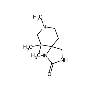 CN1CCC2(CNC(=O)N2)C(C)(C)C1